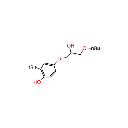 CCCCOCC(O)COc1ccc(O)c(C(C)(C)C)c1